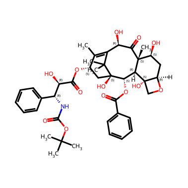 CC1=C2[C@@H](O)C(=O)[C@@]3(C)[C@H]([C@H](OC(=O)c4ccccc4)[C@](O)(C[C@@H]1OC(=O)[C@H](O)[C@H](NC(=O)OC(C)(C)C)c1ccccc1)C2(C)C)[C@]1(O)CO[C@@H]1C[C@@H]3O